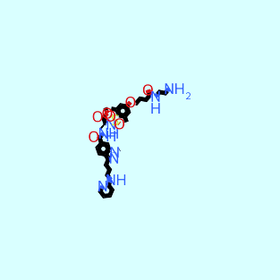 COC(=O)[C@H](CNC(=O)c1ccc2c(CCCNC3=NCCCC3)nn(C)c2c1)NS(=O)(=O)c1c(C)cc(OCCCC(=O)NCCN)cc1C